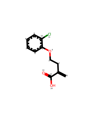 C=C(CCOc1ccccc1Cl)C(=O)O